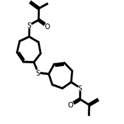 C=C(C)C(=O)SC1CC=CC(SC2C=CCC(SC(=O)C(=C)C)CC2)CC1